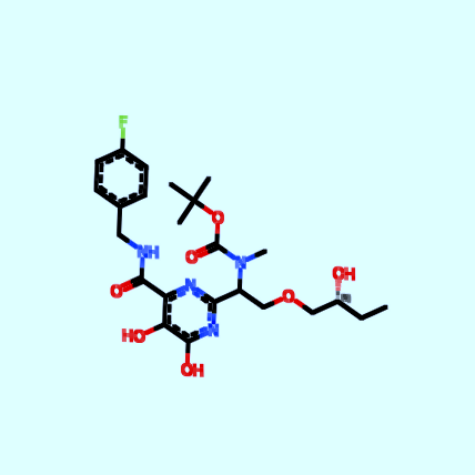 CC[C@@H](O)COCC(c1nc(O)c(O)c(C(=O)NCc2ccc(F)cc2)n1)N(C)C(=O)OC(C)(C)C